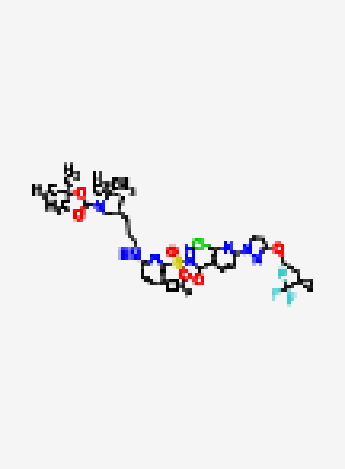 Cc1ccc(NCCCC2CN(C(=O)OC(C)(C)C)C(C)(C)C2)nc1S(=O)(=O)NC(=O)c1ccc(-n2ccc(OCCC3(C(F)(F)F)CC3)n2)nc1Cl